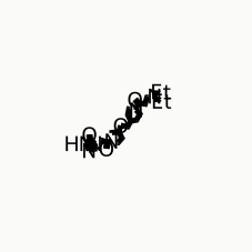 CCN(CC)CCC(=O)N1CCC(COC2CCN(C(=O)Cn3cn[nH]c3=O)C2)CC1